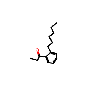 CCCCCCc1ccccc1C(=O)CC